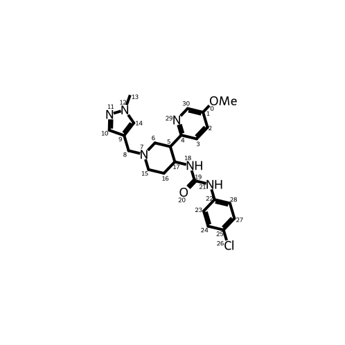 COc1ccc(C2CN(Cc3cnn(C)c3)CCC2NC(=O)Nc2ccc(Cl)cc2)nc1